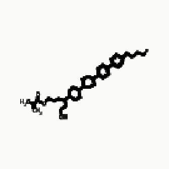 C=C(C)C(=O)OCCCC(CCO)C1CCC(C2CCC(c3ccc(-c4ccc(CCCCF)cc4)cc3)CC2)CC1